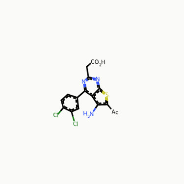 CC(=O)c1sc2nc(CC(=O)O)nc(-c3ccc(Cl)c(Cl)c3)c2c1N